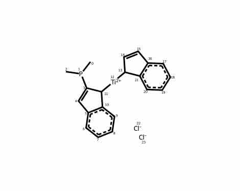 CP(C)C1=Cc2ccccc2[CH]1[Ti+2][CH]1C=Cc2ccccc21.[Cl-].[Cl-]